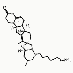 CC1=C2C[C@H]3[C@@H](CC=C4CC(=O)CC[C@@]43C)[C@@H]2CC[C@@]12CC1[C@@H](C[C@H](C)CN1CCCCCCN)O2